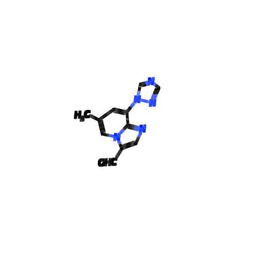 Cc1cc(-n2cncn2)c2ncc(C=O)n2c1